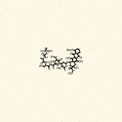 COc1cccc2c1C(=O)c1c(O)c3c(c(O)c1C2=O)CC(O)(C(=O)CO)CC3OC1CC(NC(=O)C(CC(C)C)NC(=O)C(C)NC(=O)C(CC(C)C)NC(=O)C(C)NC(=O)CP(=O)(O)O)C(O)C(C)O1